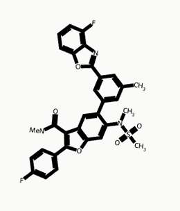 CNC(=O)c1c(-c2ccc(F)cc2)oc2cc(N(C)S(C)(=O)=O)c(-c3cc(C)cc(-c4nc5c(F)cccc5o4)c3)cc12